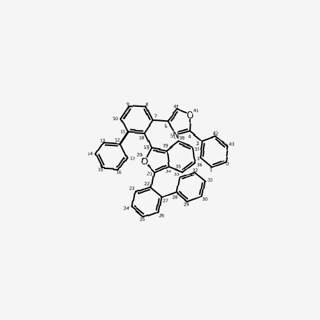 c1ccc(-c2nc(-c3cccc(-c4ccccc4)c3-c3oc(-c4ccccc4-c4ccccc4)c4ccccc34)co2)cc1